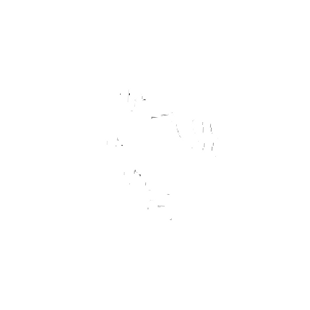 C=C.C=C.Cc1cccc(N)c1N